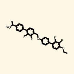 CCOc1ccc(-c2ccc(OCc3ccc(-c4ccc(C(C)O)cc4)c(F)c3F)cc2)c(F)c1F